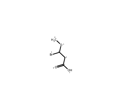 COC(Br)CC(=O)O